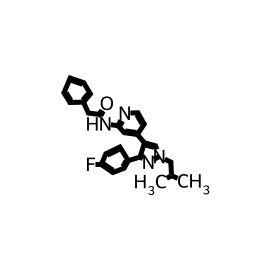 CC(C)Cn1cc(-c2ccnc(NC(=O)Cc3ccccc3)c2)c(-c2ccc(F)cc2)n1